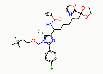 CC(C)(C)[S+]([O-])N[C@@H](CCCCCC1(c2ncco2)OCCO1)c1nc(-c2ccc(F)cc2)n(COCC[Si](C)(C)C)c1Cl